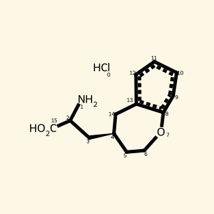 Cl.NC(C[C@@H]1CCOc2ccccc2C1)C(=O)O